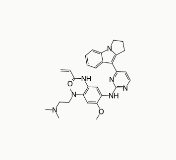 C=CC(=O)Nc1cc(Nc2nccc(-c3c4n(c5ccccc35)CCC4)n2)c(OC)cc1N(C)CCN(C)C